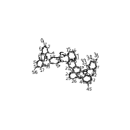 Cc1cc(C)c(B(c2ccc3c(c2)Sc2cccc4c2c-3cc2c3ccccc3c(B(c3c(C)cc(C)cc3C)c3c(C)cc(C)cc3C)cc42)c2c(C)cc(C)cc2C)c(C)c1